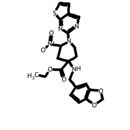 CCOC(=O)C1(NCc2ccc3c(c2)OCO3)CCN(c2ncc3ccsc3n2)C([N+](=O)[O-])C1